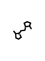 CC1CCCP1CCP1CCCC1C